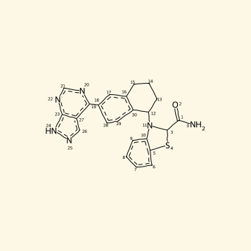 NC(=O)C1Sc2ccccc2N1C1CCCc2cc(-c3ncnc4[nH]ncc34)ccc21